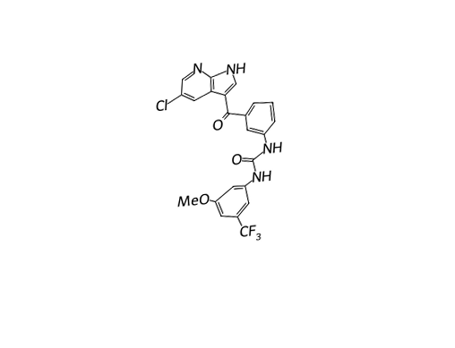 COc1cc(NC(=O)Nc2cccc(C(=O)c3c[nH]c4ncc(Cl)cc34)c2)cc(C(F)(F)F)c1